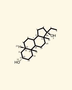 CC[C@@]1(O)CCC2C3CC[C@H]4C[C@@H](O)CCC4(C)C3CCC21C